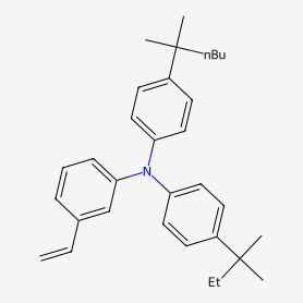 C=Cc1cccc(N(c2ccc(C(C)(C)CC)cc2)c2ccc(C(C)(C)CCCC)cc2)c1